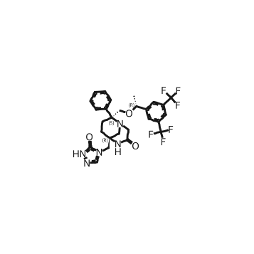 C[C@@H](OC[C@@]1(c2ccccc2)CC[C@]2(Cn3cn[nH]c3=O)CN1CC(=O)N2)c1cc(C(F)(F)F)cc(C(F)(F)F)c1